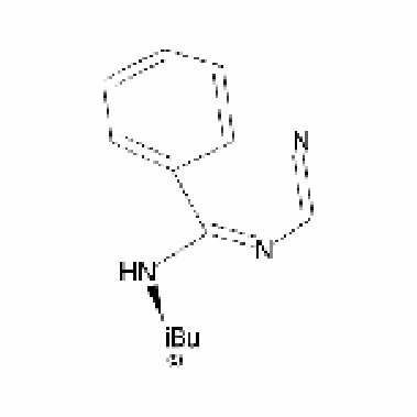 CC[C@H](C)Nc1ncnc2ccccc12